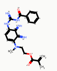 C=C(C)C(=O)OCCN(C)C1=CC=C(NC(=N)NC(=O)c2ccccc2)C(=N)C1=N